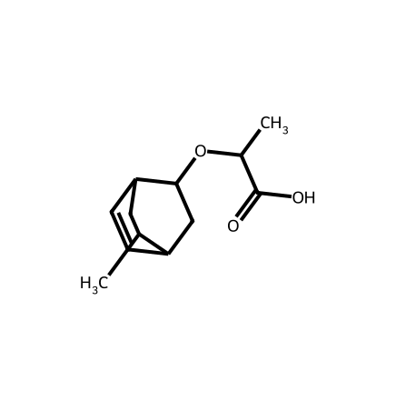 CC(OC1CC2C=CC1CC2C)C(=O)O